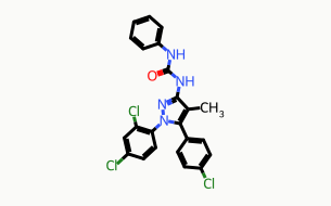 Cc1c(NC(=O)Nc2ccccc2)nn(-c2ccc(Cl)cc2Cl)c1-c1ccc(Cl)cc1